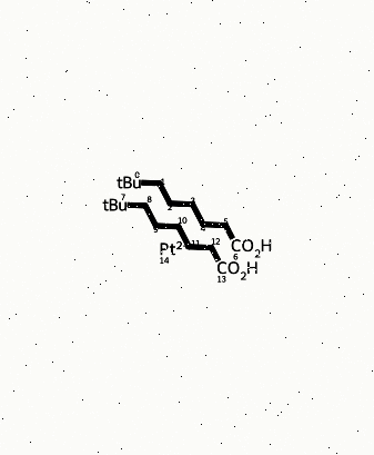 CC(C)(C)CCCCCC(=O)O.CC(C)(C)CCCCCC(=O)O.[Pt+2]